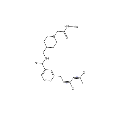 C/C(Cl)=C\C(Cl)=C/Cc1cccc(C(=O)NCC2CCN(CC(=O)NC(C)(C)C)CC2)c1